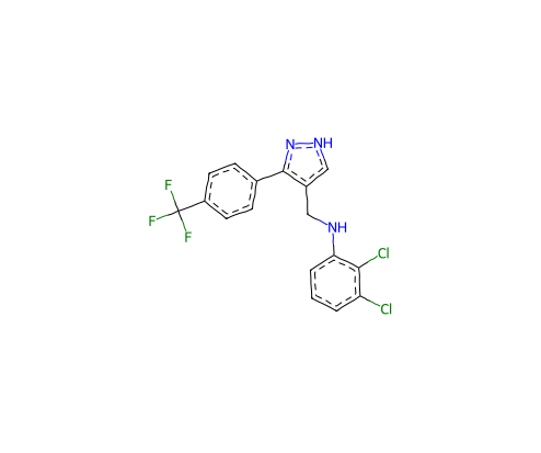 FC(F)(F)c1ccc(-c2n[nH]cc2CNc2cccc(Cl)c2Cl)cc1